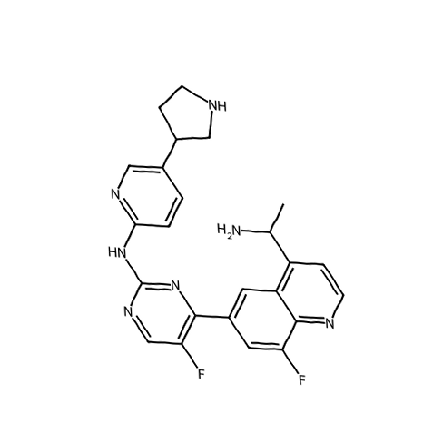 CC(N)c1ccnc2c(F)cc(-c3nc(Nc4ccc(C5CCNC5)cn4)ncc3F)cc12